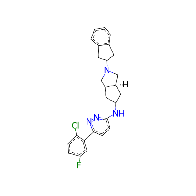 Fc1ccc(Cl)c(-c2ccc(NC3CC4CN(C5Cc6ccccc6C5)C[C@H]4C3)nn2)c1